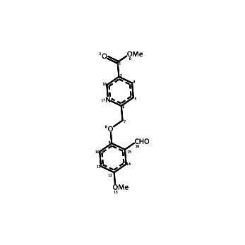 COC(=O)c1ccc(COc2ccc(OC)cc2C=O)nc1